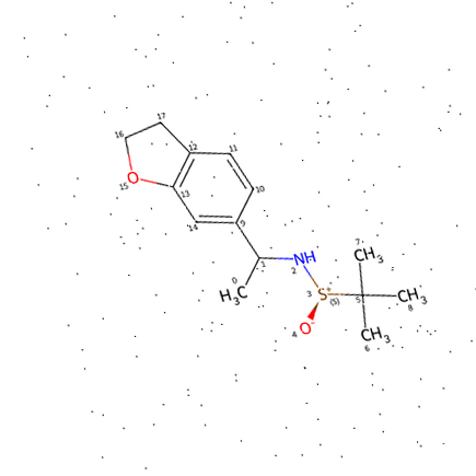 CC(N[S@+]([O-])C(C)(C)C)c1ccc2c(c1)OCC2